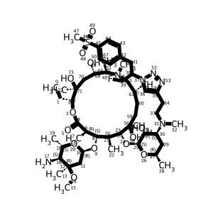 CC[C@H]1OC(=O)[C@H](C)[C@@H](O[C@H]2C[C@@](C)(OC)[C@@H](N)[C@H](C)O2)[C@H](C)[C@@H](O[C@@H]2O[C@H](C)C[C@H](N(C)CCc3cn(C(CF)Cc4ccc(S(C)(=O)=O)cc4)nn3)[C@H]2O)[C@](C)(O)CC[C@@H](C)CN(C)[C@H](C)[C@@H](O)C[C@]1(C)O